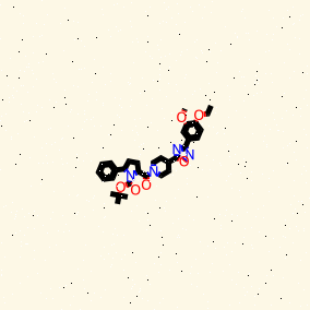 CCOc1ccc(-c2noc(C3CCN(C(=O)C4CCC(c5ccccc5)N4C(=O)OC(C)(C)C)CC3)n2)cc1OC